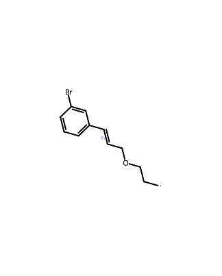 [CH2]CCOC/C=C/c1cccc(Br)c1